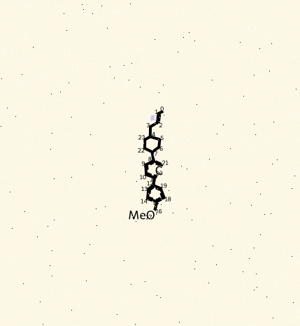 C/C=C/CC1CCC(c2ccc(-c3ccc(COC)cc3)cc2)CC1